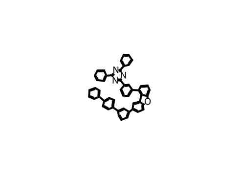 c1ccc(-c2ccc(-c3cccc(-c4ccc5oc6cccc(-c7cccc(-c8nc(-c9ccccc9)nc(-c9ccccc9)n8)c7)c6c5c4)c3)cc2)cc1